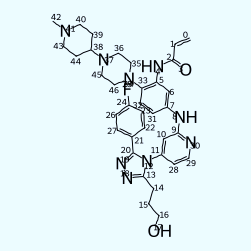 C=CC(=O)Nc1cc(Nc2cc(-n3c(CCCO)nnc3-c3ccc(F)cc3)ccn2)ccc1N1CCN(C2CCN(C)CC2)CC1